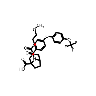 COCCOC(=O)N1CC2CCC(C(=O)O)(C1)N2C(=O)c1ccc(Oc2ccc(OC(F)(F)F)cc2)cc1